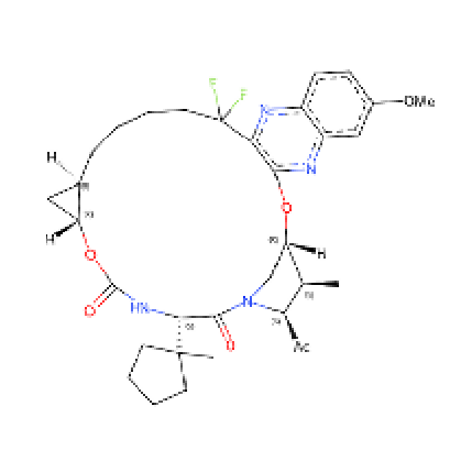 COc1ccc2nc3c(nc2c1)O[C@H]1CN(C(=O)[C@H](C2(C)CCCC2)NC(=O)O[C@@H]2C[C@H]2CCCCC3(F)F)[C@H](C(C)=O)[C@@H]1C